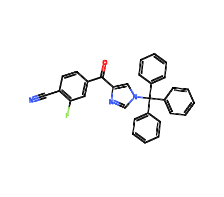 N#Cc1ccc(C(=O)c2cn(C(c3ccccc3)(c3ccccc3)c3ccccc3)cn2)cc1F